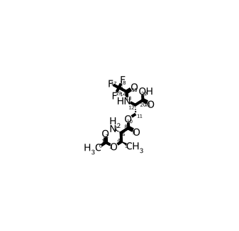 CC(=O)O[C@H](C)[C@H](N)C(=O)OC[C@H](NC(=O)C(F)(F)F)C(=O)O